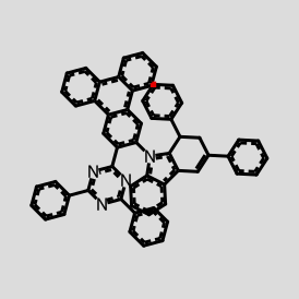 C1=C(c2ccccc2)CC(c2ccccc2)c2c1c1ccccc1n2-c1cc2c3ccccc3c3ccccc3c2cc1-c1nc(-c2ccccc2)nc(-c2ccccc2)n1